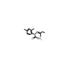 CC/C(C)=N/N(C(N)=O)c1ccc(C)cc1C